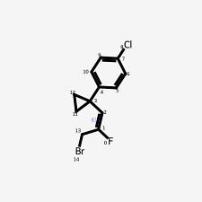 F/C(=C/C1(c2ccc(Cl)cc2)CC1)CBr